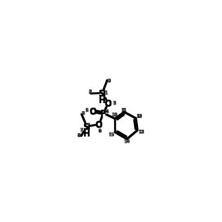 C[SiH](C)OP(=O)(O[SiH](C)C)c1ccccc1